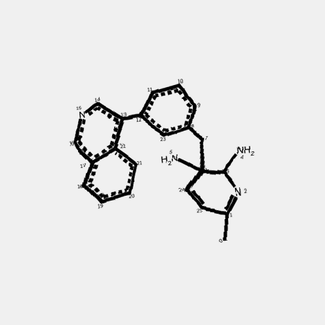 CC1=NC(N)C(N)(Cc2cccc(-c3cncc4ccccc34)c2)C=C1